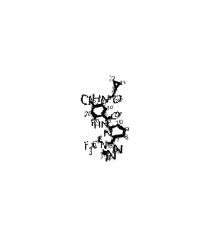 C[C@H](n1cnnc1-c1cccc(NC(=O)c2cc(NC(=O)C3CC3)c(Cl)cc2F)n1)C(F)(F)F